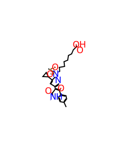 CNC(=O)c1c(-c2ccc(C)cc2)oc2nc(N(CCCCCCCCC(=O)O)S(C)(=O)=O)c(C3CC3)cc12